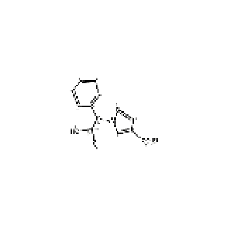 CCOC(=O)c1cnn([C@@H](c2ccccc2)[C@@H](C)O)c1